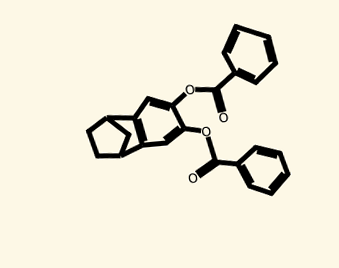 O=C(Oc1cc2c(cc1OC(=O)c1ccccc1)C1CCC2C1)c1ccccc1